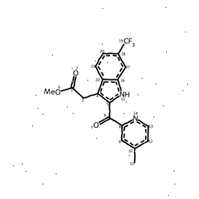 COC(=O)Cc1c(C(=O)c2cc(C)ccn2)[nH]c2cc(C(F)(F)F)ccc12